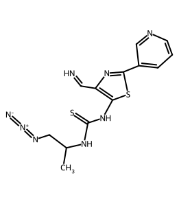 CC(CN=[N+]=[N-])NC(=S)Nc1sc(-c2cccnc2)nc1C=N